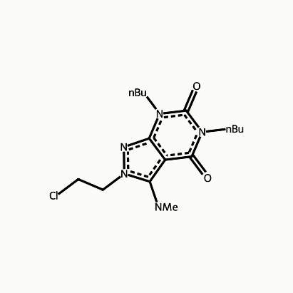 CCCCn1c(=O)c2c(NC)n(CCCl)nc2n(CCCC)c1=O